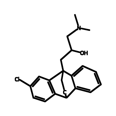 CN(C)CC(O)CC12CCC(c3ccccc31)c1ccc(Cl)cc12